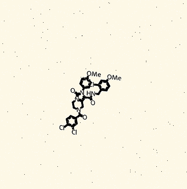 COc1ccc(-n2c(C(=O)NCc3ccc(OC)cc3Cl)c3n(c2=O)CCN(C(=O)c2ccc(Cl)c(Cl)c2)C3)cc1